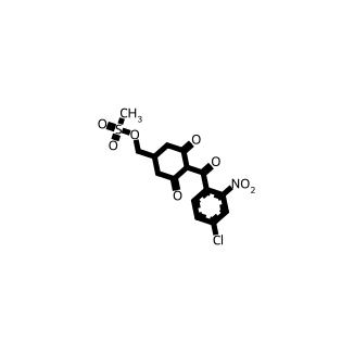 CS(=O)(=O)OCC1CC(=O)C(C(=O)c2ccc(Cl)cc2[N+](=O)[O-])C(=O)C1